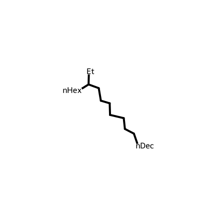 [CH2]CC(CCCCCC)CCCCCCCCCCCCCCCCC